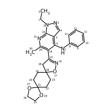 CCn1ncc2c(Nc3ccccc3)c(C3=NOC4(CCC5(CC4)OCCO5)C3)c(C)nc21